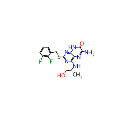 C[C@H](CO)Nc1nc(SCc2cccc(F)c2F)nc2[nH]c(=O)c(N)nc12